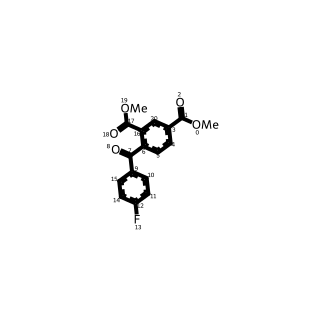 COC(=O)c1ccc(C(=O)c2ccc(F)cc2)c(C(=O)OC)c1